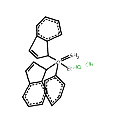 C[CH2][Zr](=[SiH2])([c]1ccccc1)([CH]1C=Cc2ccccc21)[CH]1C=Cc2ccccc21.Cl.Cl